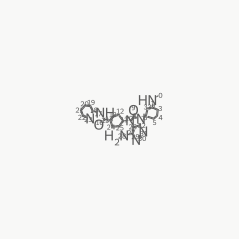 CNc1cccc(-n2c(=O)n(-c3ccc(C(=O)Nc4ccccn4)cc3)c3c(N)ncnc32)c1